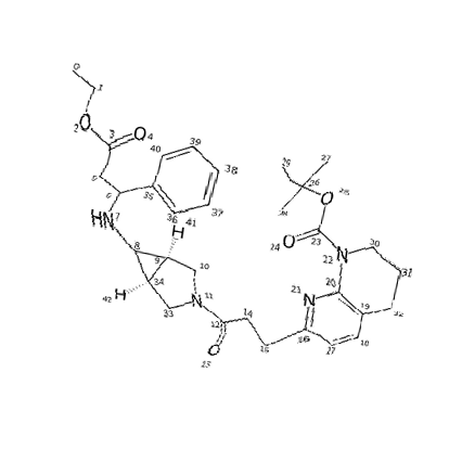 CCOC(=O)CC(NC1[C@H]2CN(C(=O)CCc3ccc4c(n3)N(C(=O)OC(C)(C)C)CCC4)C[C@@H]12)c1ccccc1